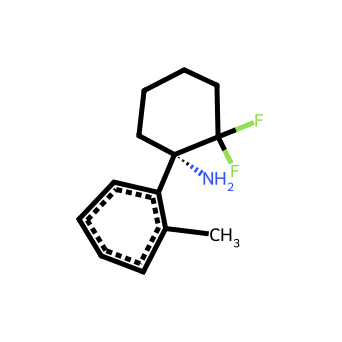 Cc1ccccc1[C@@]1(N)CCCCC1(F)F